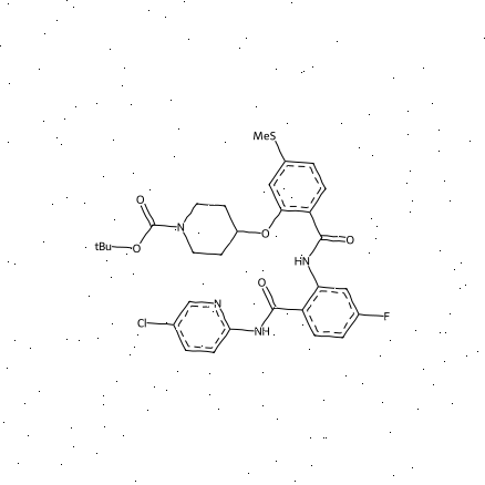 CSc1ccc(C(=O)Nc2cc(F)ccc2C(=O)Nc2ccc(Cl)cn2)c(OC2CCN(C(=O)OC(C)(C)C)CC2)c1